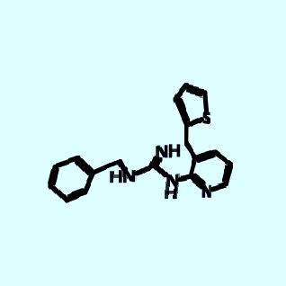 N=C(NCc1ccccc1)Nc1ncccc1Cc1cccs1